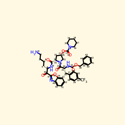 NCCCC[C@H](NC(=O)[C@@H]1C[C@@H](OC(=O)N2CCCCC2)CN1C(=O)[C@@H](Cc1ccc(C(F)(F)F)cc1)NC(=O)OCc1ccccc1)C(=O)c1nc2ccccc2o1